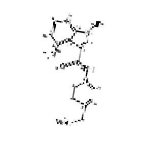 COCc1ccc(NC(=O)c2cn(C(C)C)c3ncnc(N)c23)cc1